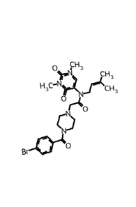 CC(C)=CCN(C(=O)CN1CCN(C(=O)c2ccc(Br)cc2)CC1)c1cn(C)c(=O)n(C)c1=O